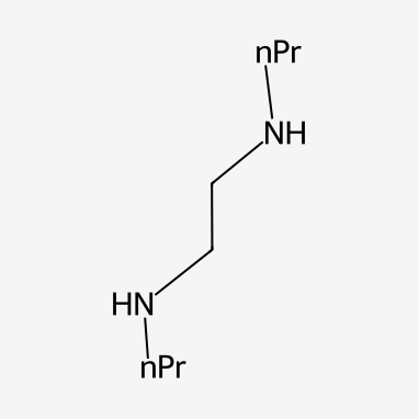 CCCNCCNCCC